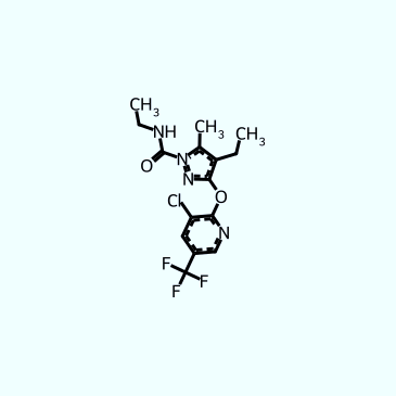 CCNC(=O)n1nc(Oc2ncc(C(F)(F)F)cc2Cl)c(CC)c1C